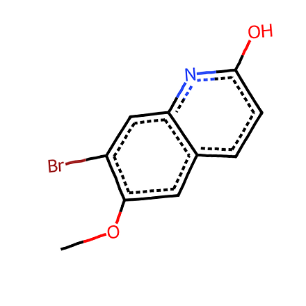 COc1cc2ccc(O)nc2cc1Br